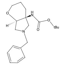 CC(C)(C)OC(=O)N[C@]12CCCO[C@@H]1CN(Cc1ccccc1)C2